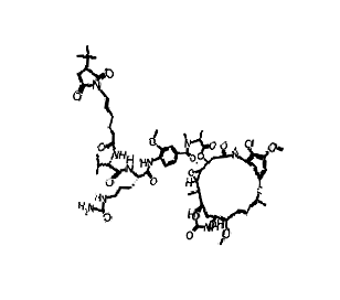 COc1cc(C(=O)N(C)[C@@H](C)C(=O)O[C@H]2CC(=O)N(C)c3cc(cc(OC)c3Cl)C/C(C)=C/C=C/[C@@H](OC)[C@@]3(O)C[C@H](OC(=O)N3)[C@@H](C)[C@@H]3O[C@@]23C)ccc1NC(=O)[C@H](CCCNC(N)=O)NC(=O)[C@@H](NC(=O)CCCCCN1C(=O)CC(C(C)(C)C)C1=O)C(C)C